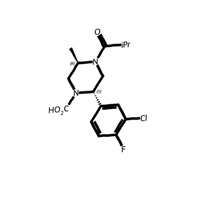 CC(C)C(=O)N1C[C@H](c2ccc(F)c(Cl)c2)N(C(=O)O)C[C@H]1C